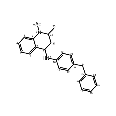 CC(=O)N1c2ccccc2C(Nc2ccc(Cc3ccccc3)cc2)CC1C